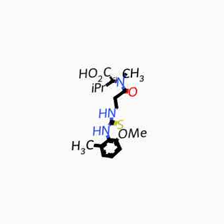 COc1cccc(C)c1NC(=S)NCCC(=O)N(C)[C@H](C(=O)O)C(C)C